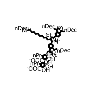 CCCCCCCCCCCCCCCCCCCC=CC1=C(c2ccc(C(=O)CCCCCCCCCCC)c(C(=O)CCCCCCCCCCC)c2)[N+](=[N-])C(c2ccc(C(=O)CCCCCCCCCCC)c(C(=O)CCCCCCCCCCC)c2)=C1CC.CCCc1ccc(O)c(O)c1C(=O)[O-].CCCc1ccc(O)c(O)c1C(=O)[O-].[Ni+2]